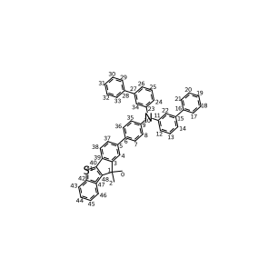 CC1(C)c2cc(-c3ccc(N(c4cccc(-c5ccccc5)c4)c4cccc(-c5ccccc5)c4)cc3)ccc2-c2sc3ccccc3c21